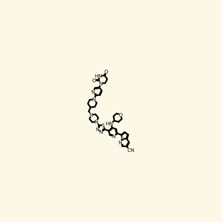 N#Cc1cnn2c(-c3cc(NC4CCOCC4)c(-c4nnc(N5CCN(CC6CCN(c7ccc(N8CCC(=O)NC8=O)cn7)CC6)CC5)s4)cn3)ccc2c1